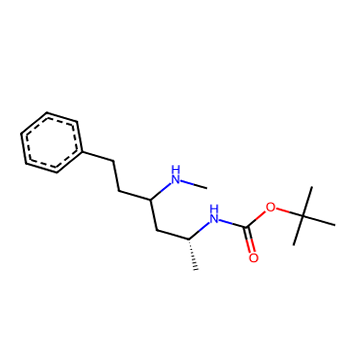 CNC(CCc1ccccc1)C[C@@H](C)NC(=O)OC(C)(C)C